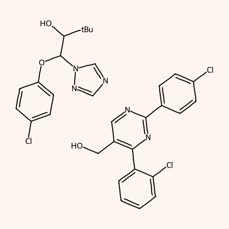 CC(C)(C)C(O)C(Oc1ccc(Cl)cc1)n1cncn1.OCc1cnc(-c2ccc(Cl)cc2)nc1-c1ccccc1Cl